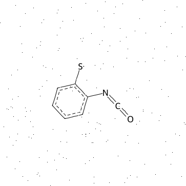 O=C=Nc1ccccc1[S]